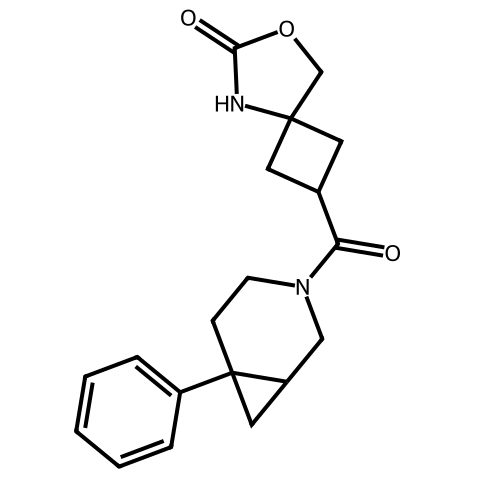 O=C1NC2(CO1)CC(C(=O)N1CCC3(c4ccccc4)CC3C1)C2